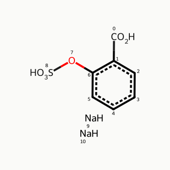 O=C(O)c1ccccc1OS(=O)(=O)O.[NaH].[NaH]